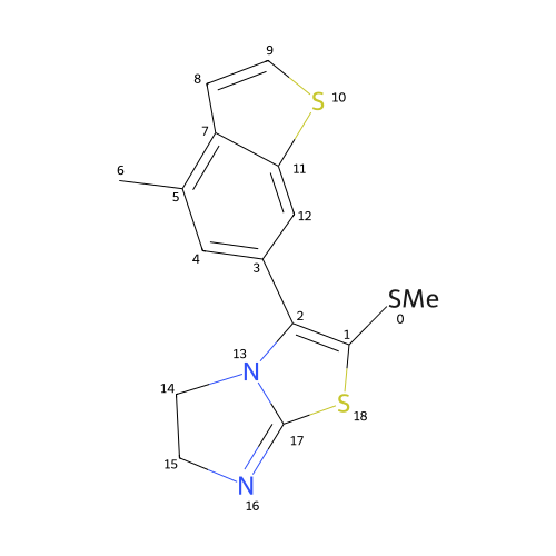 CSC1=C(c2cc(C)c3ccsc3c2)N2CCN=C2S1